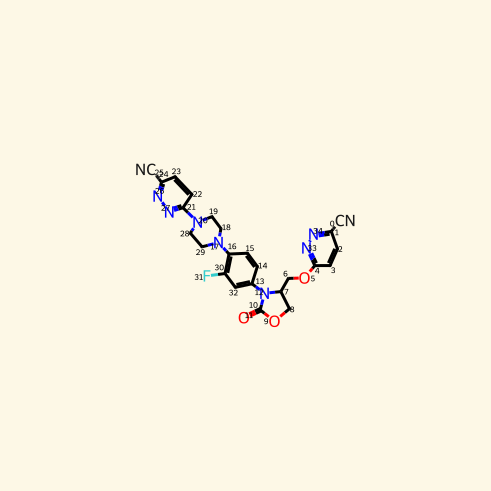 N#Cc1ccc(OCC2COC(=O)N2c2ccc(N3CCN(c4ccc(C#N)nn4)CC3)c(F)c2)nn1